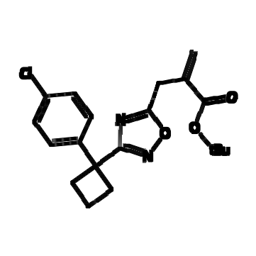 C=C(Cc1nc(C2(c3ccc(Cl)cc3)CCC2)no1)C(=O)OC(C)(C)C